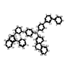 c1ccc(-c2cccc(-c3ccc(N(c4ccc(-c5cccc(-c6oc7ccccc7c6-c6ccccc6)c5)cc4)c4ccc5c(ccc6ccccc65)c4)cc3)c2)cc1